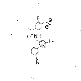 CC(C(=O)NCc1cc(C(C)(C)C)nn1-c1cccc(C#N)c1)c1ccc(CS(C)(=O)=O)c(F)c1